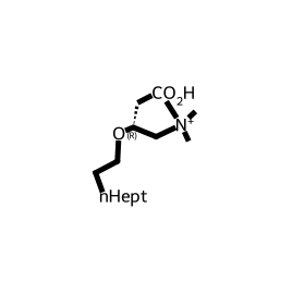 CCCCCCCCCO[C@H](CC(=O)O)C[N+](C)(C)C